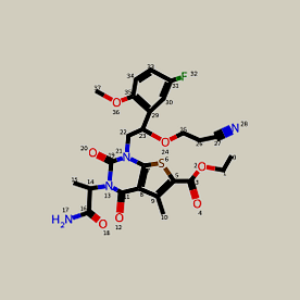 CCOC(=O)c1sc2c(c1C)c(=O)n(C(C)C(N)=O)c(=O)n2CC(OCCC#N)c1cc(F)ccc1OC